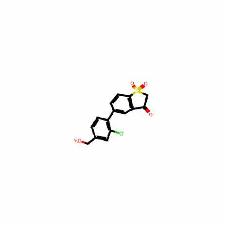 O=C1CS(=O)(=O)c2ccc(-c3ccc(CO)cc3Cl)cc21